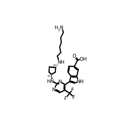 NCCCCCCN[C@H]1CC[C@H](Nc2ncc(C(F)(F)F)c(-c3c[nH]c4cc(C(=O)O)ccc34)n2)C1